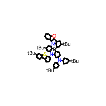 CC(C)(C)c1ccc(N(c2ccc(C(C)(C)C)cc2)c2ccc3c(c2)N(c2cccc4c2sc2cc(C(C)(C)C)ccc24)c2cc(C(C)(C)C)cc4c2B3c2cc(C(C)(C)C)cc3c5oc6ccccc6c5n-4c23)cc1